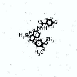 COc1ccc([C@@]23CC/C(=N\NC(=O)c4ccc(Cl)cc4)C[C@@H]2N(C)CC3)cc1OC